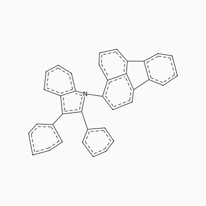 c1ccc(-c2c(-c3ccccc3)n(-c3ccc4c5c(cccc35)-c3ccccc3-4)c3ccccc23)cc1